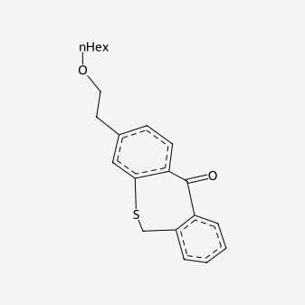 CCCCCCOCCc1ccc2c(c1)SCc1ccccc1C2=O